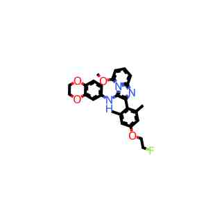 COc1cccc2nc(-c3c(C)cc(OCCF)cc3C)c(Nc3ccc4c(c3)OCCO4)n12